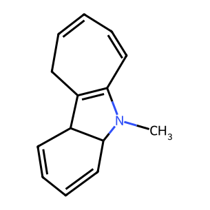 CN1C2=C(CC=CC=C2)C2C=CC=CC21